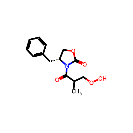 CC(COO)C(=O)N1C(=O)OC[C@H]1Cc1ccccc1